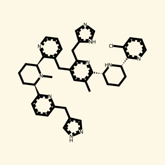 Cc1cc(Cc2cccnc2[C@@H]2CCC[C@H](c3cccc(Cc4cn[nH]c4)n3)N2C)c(Cc2cnc[nH]2)nc1[C@H]1CCC[C@@H](c2ncccc2Cl)N1